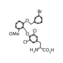 COc1cccc(OCc2cccc(Br)c2)c1COc1c(Cl)cc(C[C@H](N)C(=O)O)cc1Cl